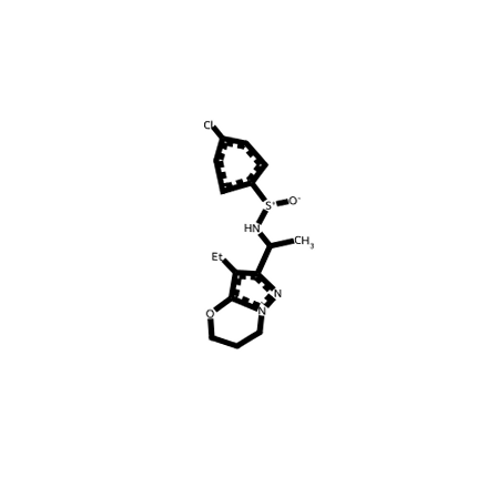 CCc1c(C(C)N[S+]([O-])c2ccc(Cl)cc2)nn2c1OCCC2